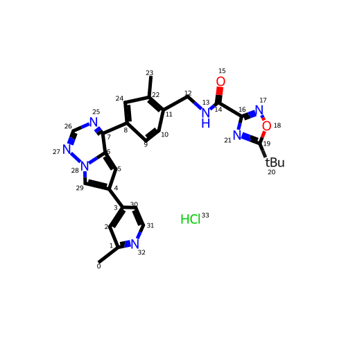 Cc1cc(-c2cc3c(-c4ccc(CNC(=O)c5noc(C(C)(C)C)n5)c(C)c4)ncnn3c2)ccn1.Cl